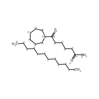 CCCCCCCCCCCC.NC(=O)CCCCC(=O)N1CCCCCC1